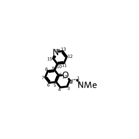 CNC[C@@H]1CCc2cccc(-c3cccnc3)c2O1